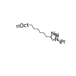 CCCCCCCCCCCCCCc1cn(C(C)C)nn1